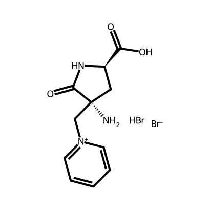 Br.N[C@@]1(C[n+]2ccccc2)C[C@H](C(=O)O)NC1=O.[Br-]